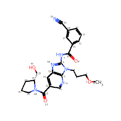 COCCCn1c(NC(=O)c2cccc(C#N)c2)nc2cc(C(=O)N3CCC[C@@H]3CO)cnc21